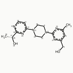 Cc1cc(CO)nc(N2CCN(c3ccnc([C@@H](C)O)n3)CC2)n1